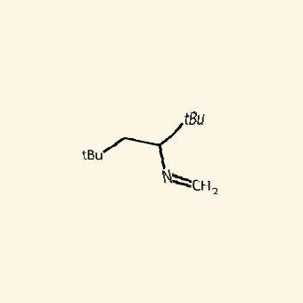 C=NC(CC(C)(C)C)C(C)(C)C